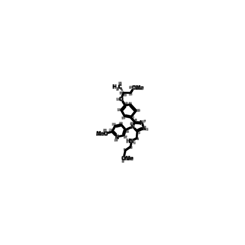 COCCNCc1nnc(-c2ccc(O[C@H](C)COC)cc2)n1-c1ccc(OC)nc1